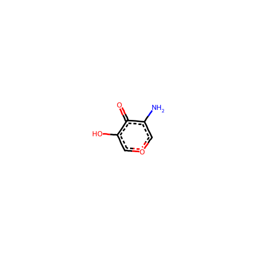 Nc1cocc(O)c1=O